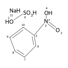 O=S(=O)(O)O.O=[N+](O)c1ccccc1.[NaH]